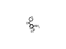 CCOc1ncc(C(=O)N2CCOCC2)cc1N